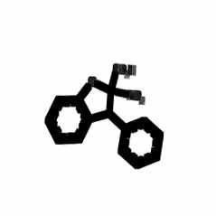 O=C(O)C1([N+](=O)[O-])Oc2ccccc2C1c1ccccc1